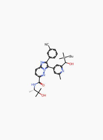 Cc1cc(-c2c(-c3cccc(C#N)c3)nc3ccc(C(=O)N[C@@H](C)C(C)(C)O)nn23)cc(C(O)[Si](C)(C)C(C)(C)C)n1